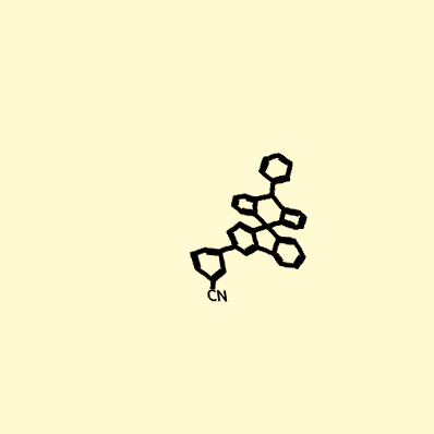 N#Cc1cccc(-c2ccc3c(c2)-c2ccccc2C32c3ccccc3C(c3ccccc3)c3ccccc32)c1